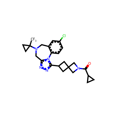 O=C(C1CC1)N1CC2(CC(c3nnc4n3-c3ccc(Cl)cc3CN(C3(C(F)(F)F)CC3)C4)C2)C1